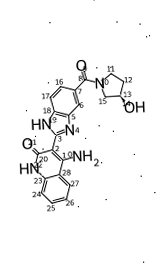 Nc1c(-c2nc3cc(C(=O)N4CC[C@@H](O)C4)ccc3[nH]2)c(=O)[nH]c2ccccc12